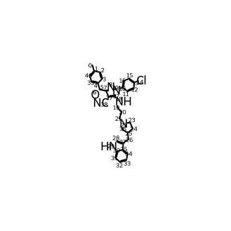 Cc1ccc(C(=O)c2nn(-c3ccc(Cl)cc3)c(NCCCN3CCC(Cc4c[nH]c5ccccc45)C3)c2C#N)cc1